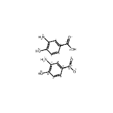 Nc1cc(C(=O)O)ccc1O.Nc1cc([N+](=O)[O-])ccc1O